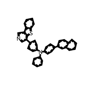 c1ccc(N(c2ccc(-c3ccc4ccccc4c3)cc2)c2ccc(-c3cncc4c3sc3ccccc34)cc2)cc1